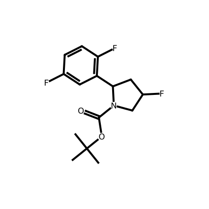 CC(C)(C)OC(=O)N1CC(F)CC1c1cc(F)ccc1F